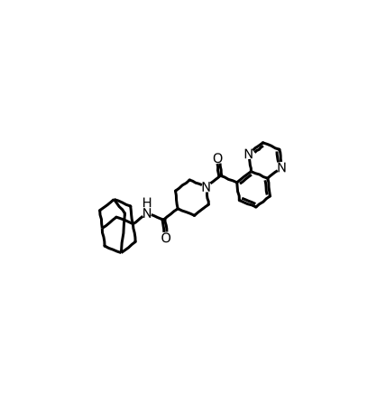 O=C(NC12CC3CC(CC(C3)C1)C2)C1CCN(C(=O)c2cccc3nccnc23)CC1